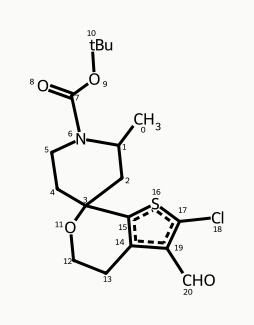 CC1CC2(CCN1C(=O)OC(C)(C)C)OCCc1c2sc(Cl)c1C=O